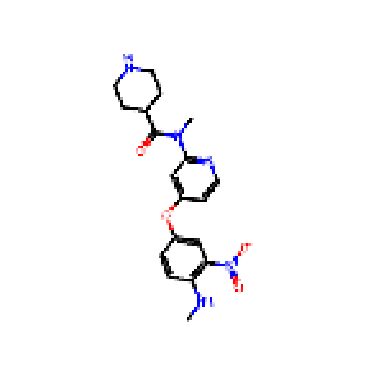 CNc1ccc(Oc2ccnc(N(C)C(=O)C3CCNCC3)c2)cc1[N+](=O)[O-]